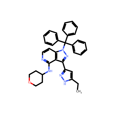 CCc1cc(-c2nn(C(c3ccccc3)(c3ccccc3)c3ccccc3)c3ccnc(NC4CCOCC4)c23)n[nH]1